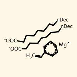 C=Cc1ccccc1.CCCCCCCCCCCCCCCCCC(=O)[O-].CCCCCCCCCCCCCCCCCC(=O)[O-].[Mg+2]